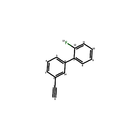 C#Cc1cccc(-c2ccccc2F)c1